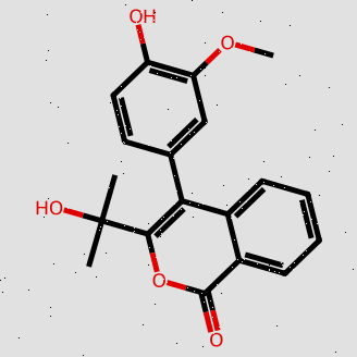 COc1cc(-c2c(C(C)(C)O)oc(=O)c3ccccc23)ccc1O